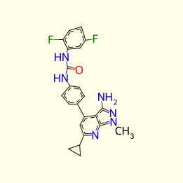 Cn1nc(N)c2c(-c3ccc(NC(=O)Nc4cc(F)ccc4F)cc3)cc(C3CC3)nc21